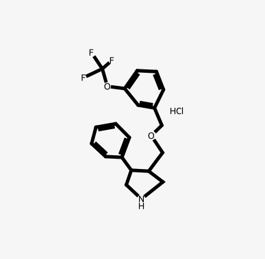 Cl.FC(F)(F)Oc1cccc(COCC2CNCC2c2ccccc2)c1